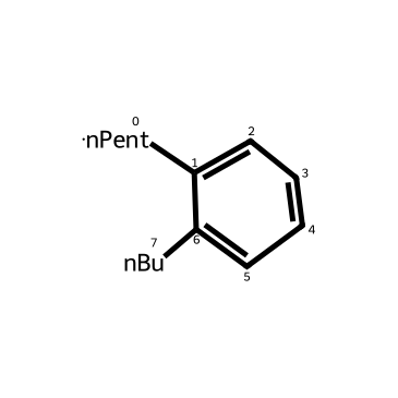 CCCC[CH]c1ccccc1CCCC